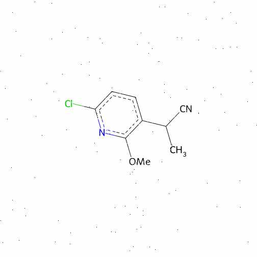 COc1nc(Cl)ccc1C(C)C#N